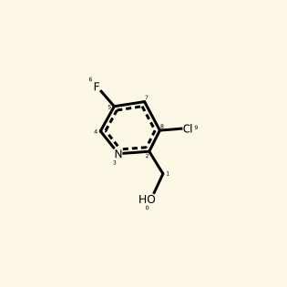 OCc1ncc(F)cc1Cl